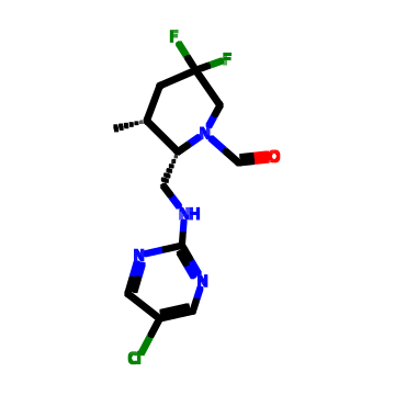 C[C@@H]1CC(F)(F)CN(C=O)[C@@H]1CNc1ncc(Cl)cn1